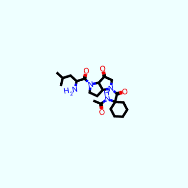 CC(=O)NC1(C(=O)N2CC(=O)C3C2CCN3C(=O)C(N)CC(C)C)CCCCC1